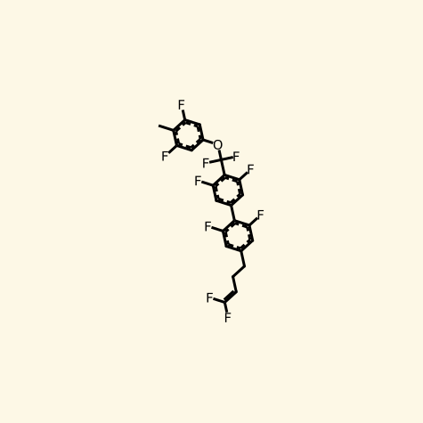 Cc1c(F)cc(OC(F)(F)c2c(F)cc(-c3c(F)cc(CCC=C(F)F)cc3F)cc2F)cc1F